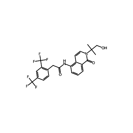 CC(C)(CO)n1ccc2c(NC(=O)Cc3ccc(C(F)(F)F)cc3C(F)(F)F)cccc2c1=O